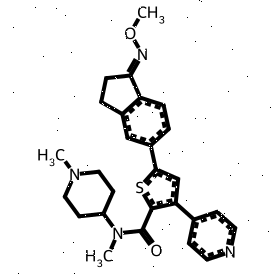 CON=C1CCc2cc(-c3cc(-c4ccncc4)c(C(=O)N(C)C4CCN(C)CC4)s3)ccc21